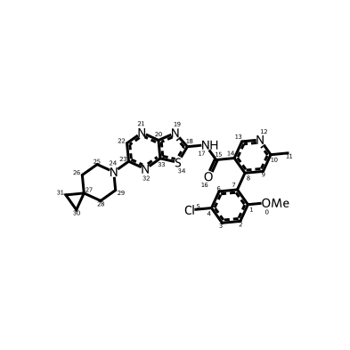 COc1ccc(Cl)cc1-c1cc(C)ncc1C(=O)Nc1nc2ncc(N3CCC4(CC3)CC4)nc2s1